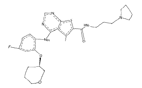 Cc1c(C(=O)NCCCN2CCCC2)sc2ncnc(Nc3ccc(F)cc3O[C@@H]3CCCOC3)c12